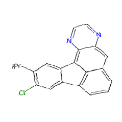 CC(C)c1cc2c(cc1Cl)-c1cccc3cc4nccnc4c-2c13